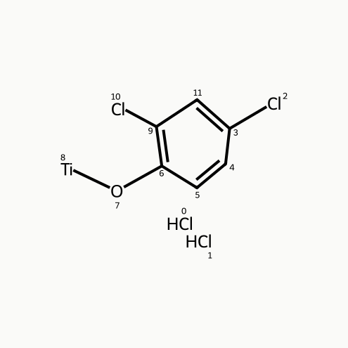 Cl.Cl.Clc1ccc([O][Ti])c(Cl)c1